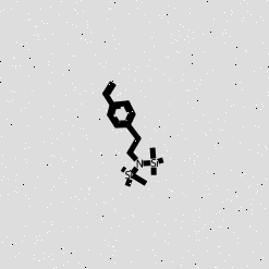 C=Cc1ccc(CCN([Si](C)(C)C)[Si](C)(C)C)cc1